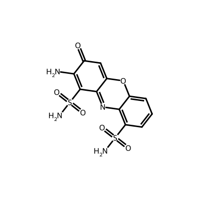 Nc1c(S(N)(=O)=O)c2nc3c(S(N)(=O)=O)cccc3oc-2cc1=O